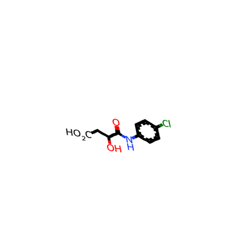 O=C(O)CC(O)C(=O)Nc1ccc(Cl)cc1